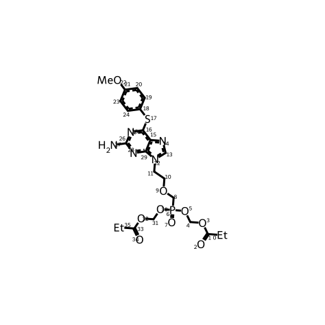 CCC(=O)OCOP(=O)(COCCn1cnc2c(Sc3ccc(OC)cc3)nc(N)nc21)OCOC(=O)CC